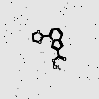 COC(=O)c1cc2cccc(C3OCCO3)n2c1